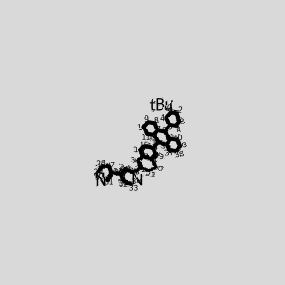 CC(C)(C)c1cccc(-c2c3ccccc3c(-c3ccc4c(c3)CCC(c3cc(-c5cccnc5)ccn3)=C4)c3ccccc23)c1